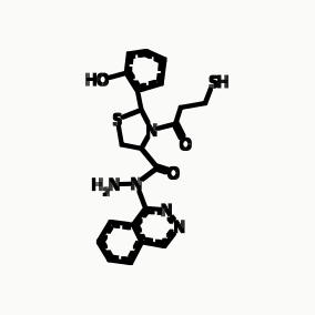 NN(C(=O)C1CSC(c2ccccc2O)N1C(=O)CCS)c1nncc2ccccc12